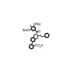 COc1cc(C(=O)N2Cc3ccc(-c4ccccc4C(=O)O)cc3CC2CCc2ccccc2)cc(OC)c1C